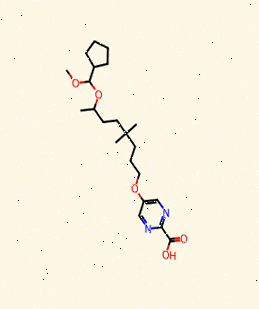 COC(OC(C)CCC(C)(C)CCCOc1cnc(C(=O)O)nc1)C1CCCC1